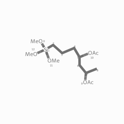 CO[Si](CCCC(CC(C)OC(C)=O)OC(C)=O)(OC)OC